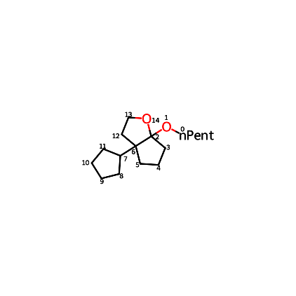 CCCCCOC12CCCC1(C1CCCC1)CCO2